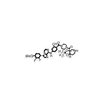 COc1ccc(-c2cnc3c(Nc4ccc(C(=O)N5CCN(C(=O)[C@@]67CNCC[C@@H]6OC(C)(C)O7)CC5)c(C)c4)nccn23)c(F)c1F